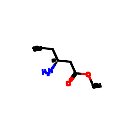 CC(C)(C)C[C@@H](N)CC(=O)OC(C)(C)C